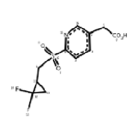 O=C(O)Cc1ccc(S(=O)(=O)CC2CC2(F)F)nc1